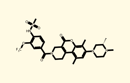 Cc1c(N2CCN(C)[C@@H](C)C2)cc(C)c2c3c(c(=O)oc12)CN(C(=O)c1ccc(NS(C)(=O)=O)c(OC(F)(F)F)c1)CC3